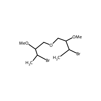 COC(COCC(OC)C(C)Br)C(C)Br